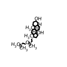 CN(C)CCON(C)CC[C@H]1CC[C@]2(O)[C@@H]3CC[C@@H]4C[C@@H](O)CC[C@]4(C)[C@H]3CC[C@]12C